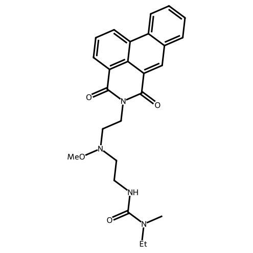 CCN(C)C(=O)NCCN(CCN1C(=O)c2cccc3c2c(cc2ccccc23)C1=O)OC